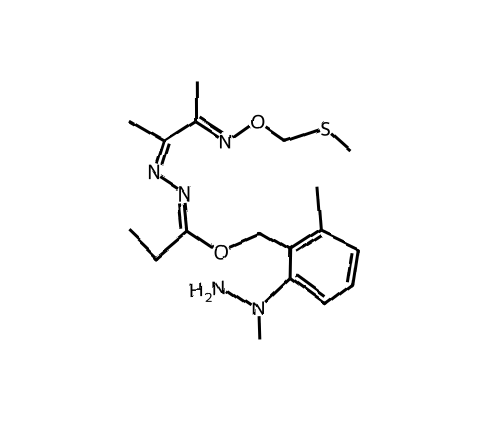 CCC(=NN=C(C)C(C)=NOCSC)OCc1c(C)cccc1N(C)N